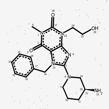 Cn1c(=O)c2c(nc(N3CCC[C@H](N)C3)n2Cc2ccccc2)n(CCO)c1=O